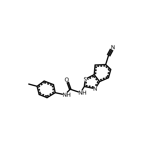 Cc1ccc(NC(=O)Nc2nc3ccc(C#N)cc3s2)cc1